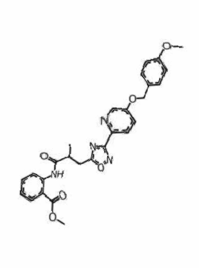 COC(=O)c1ccccc1NC(=O)C(C)Cc1nc(-c2ccc(OCc3ccc(OC)cc3)cn2)no1